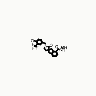 O=C(NO)c1cccc2c1CC1(CCN(Cc3ccc(Cl)c(C(F)(F)F)c3)C1=O)C2